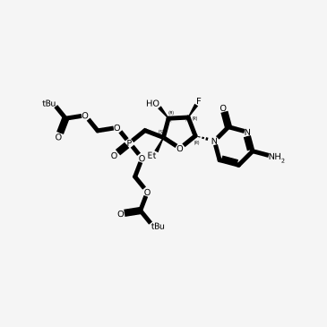 CC[C@]1(CP(=O)(OCOC(=O)C(C)(C)C)OCOC(=O)C(C)(C)C)O[C@@H](n2ccc(N)nc2=O)[C@H](F)[C@@H]1O